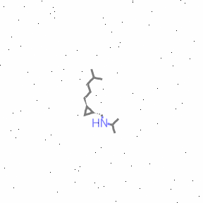 CC(C)CCC[C@@H]1C[C@H]1CNC(C)C